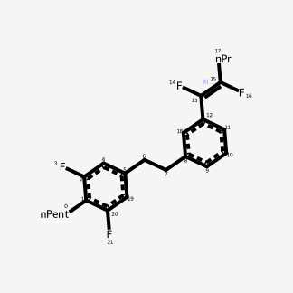 CCCCCc1c(F)cc(CCc2cccc(/C(F)=C(\F)CCC)c2)cc1F